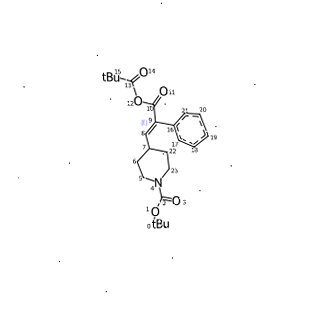 CC(C)(C)OC(=O)N1CCC(/C=C(/C(=O)OC(=O)C(C)(C)C)c2ccccc2)CC1